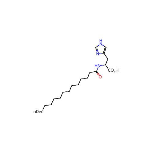 CCCCCCCCCCCCCCCCCCCCCC(=O)N[C@@H](Cc1c[nH]cn1)C(=O)O